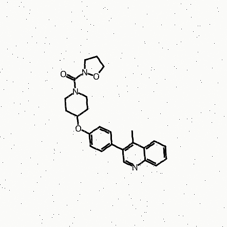 Cc1c(-c2ccc(OC3CCN(C(=O)N4CCCO4)CC3)cc2)cnc2ccccc12